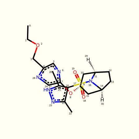 CCOCc1cnc(O[C@@H]2C[C@H]3CC[C@@H](C2)N3S(=O)(=O)c2c(C)n[nH]c2C)cn1